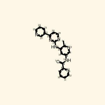 Cc1ncc(NC(=O)c2ccccn2)cc1Nc1nccc(-c2cccnc2)n1